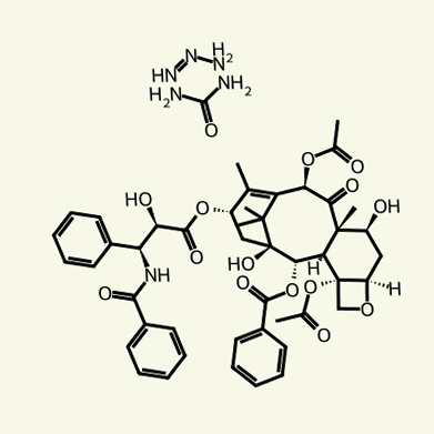 CC(=O)O[C@H]1C(=O)[C@@]2(C)[C@H]([C@H](OC(=O)c3ccccc3)[C@]3(O)C[C@H](OC(=O)[C@H](O)[C@@H](NC(=O)c4ccccc4)c4ccccc4)C(C)=C1C3(C)C)[C@]1(OC(C)=O)CO[C@@H]1C[C@@H]2O.N=NN.NC(N)=O